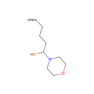 CCCCCCCCCC(S)N1CCOCC1